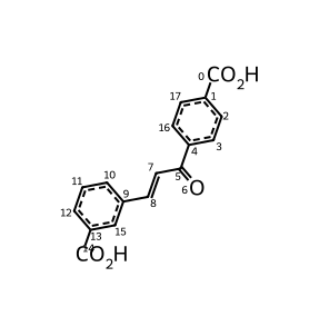 O=C(O)c1ccc(C(=O)C=Cc2cccc(C(=O)O)c2)cc1